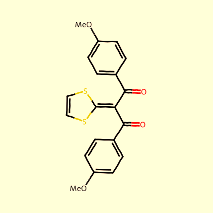 COc1ccc(C(=O)C(C(=O)c2ccc(OC)cc2)=C2SC=CS2)cc1